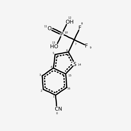 N#Cc1ccc2cc(C(F)(F)P(=O)(O)O)sc2c1